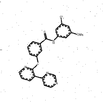 COc1cc(NC(=O)c2cccc(Oc3ncccc3-c3ccncn3)c2)cc(C(F)(F)F)c1